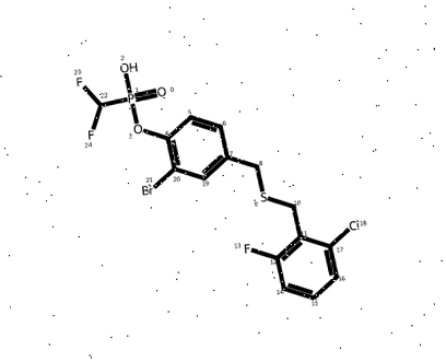 O=P(O)(Oc1ccc(CSCc2c(F)cccc2Cl)cc1Br)C(F)F